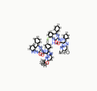 COc1ccc2nc(-c3ccccc3)c(C(=O)N[C@H]3N=C(c4ccccc4)c4cccc(F)c4NC3=O)n2n1.[2H]C([2H])([2H])Oc1ccc2nc(-c3ccccc3)c(C(=O)N[C@H]3N=C(c4ccccc4)c4ccccc4NC3=O)n2n1